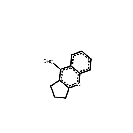 O=Cc1c2c(nc3ccccc13)CCC2